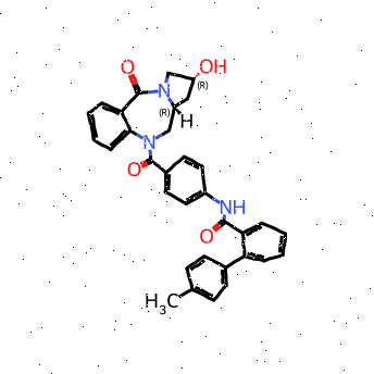 Cc1ccc(-c2ccccc2C(=O)Nc2ccc(C(=O)N3C[C@H]4C[C@@H](O)CN4C(=O)c4ccccc43)cc2)cc1